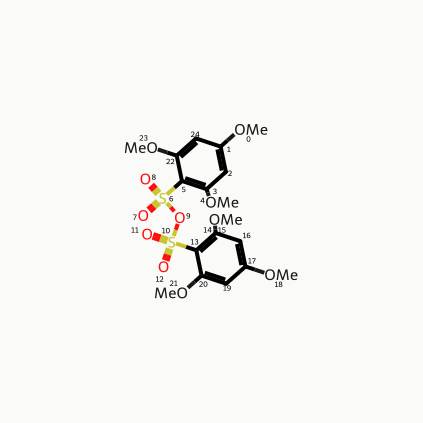 COc1cc(OC)c(S(=O)(=O)OS(=O)(=O)c2c(OC)cc(OC)cc2OC)c(OC)c1